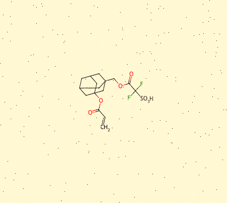 C=CC(=O)OC12CC3CC(CC(COC(=O)C(F)(F)S(=O)(=O)O)(C3)C1)C2